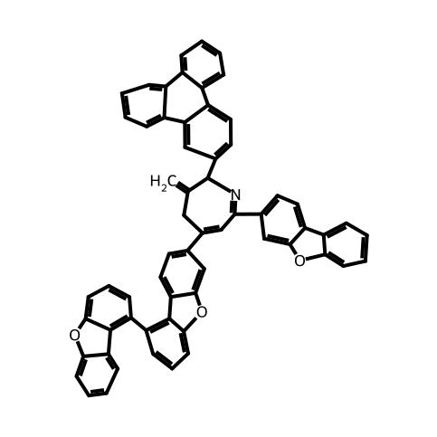 C=C1CC(c2ccc3c(c2)oc2cccc(-c4cccc5oc6ccccc6c45)c23)=CC(c2ccc3c(c2)oc2ccccc23)=NC1c1ccc2c3ccccc3c3ccccc3c2c1